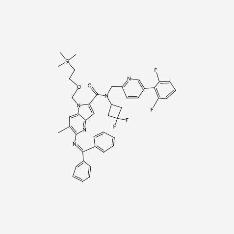 Cc1cc2c(cc(C(=O)N(Cc3ccc(-c4c(F)cccc4F)cn3)C3CC(F)(F)C3)n2COCC[Si](C)(C)C)nc1N=C(c1ccccc1)c1ccccc1